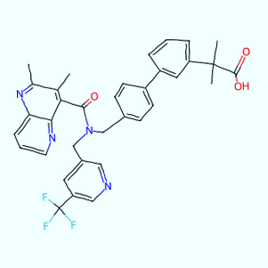 Cc1nc2cccnc2c(C(=O)N(Cc2ccc(-c3cccc(C(C)(C)C(=O)O)c3)cc2)Cc2cncc(C(F)(F)F)c2)c1C